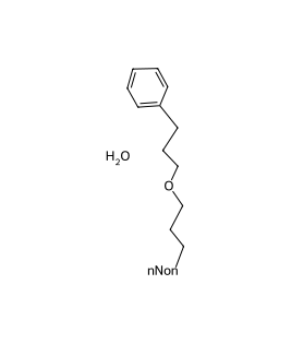 CCCCCCCCCCCCOCCCc1ccccc1.O